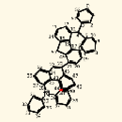 c1ccc(C(c2ccccc2)c2cccc3c2-c2cccc(-c4cc5cccc(N(c6ccccc6)c6ccccc6)c5c5ccccc45)c2C3)cc1